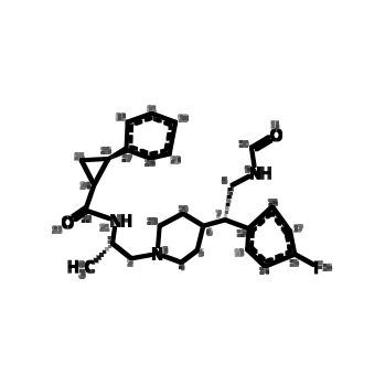 C[C@@H](CN1CCC([C@H](CNC=O)c2ccc(F)cc2)CC1)NC(=O)C1C[C@H]1c1ccccc1